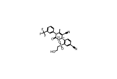 CC1=C(C#N)[C@@H](c2ccc(C#N)cc2S(=O)(=O)CCO)NC(=O)N1c1cccc(C(F)(F)F)c1